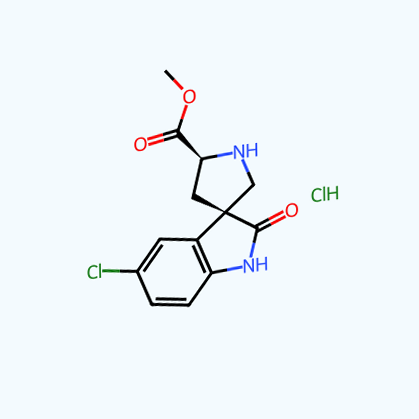 COC(=O)[C@@H]1C[C@@]2(CN1)C(=O)Nc1ccc(Cl)cc12.Cl